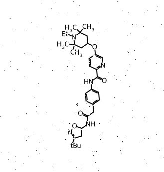 CCN1C(C)(C)CC(Oc2ccc(C(=O)Nc3ccc(CC(=O)NC4CC(C(C)(C)C)=NO4)cc3)nc2)CC1(C)C